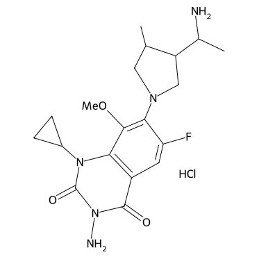 COc1c(N2CC(C)C(C(C)N)C2)c(F)cc2c(=O)n(N)c(=O)n(C3CC3)c12.Cl